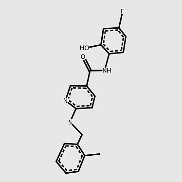 Cc1ccccc1CSc1ccc(C(=O)Nc2ccc(F)cc2O)cn1